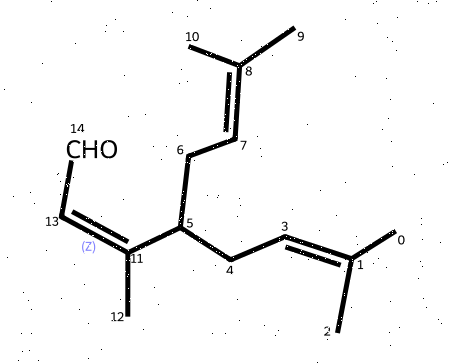 CC(C)=CCC(CC=C(C)C)/C(C)=C\C=O